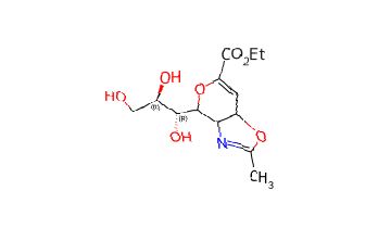 CCOC(=O)C1=CC2OC(C)=NC2C([C@H](O)[C@H](O)CO)O1